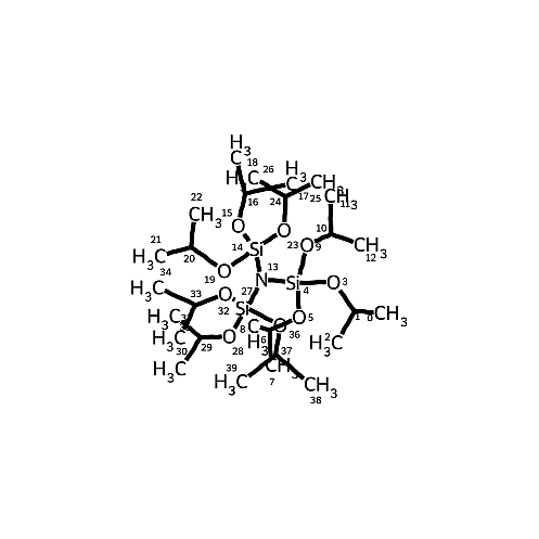 CC(C)O[Si](OC(C)C)(OC(C)C)N([Si](OC(C)C)(OC(C)C)OC(C)C)[Si](OC(C)C)(OC(C)C)OC(C)C